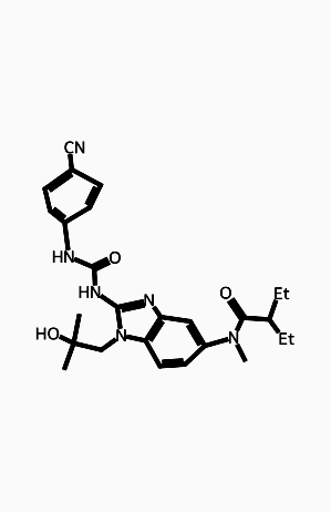 CCC(CC)C(=O)N(C)c1ccc2c(c1)nc(NC(=O)Nc1ccc(C#N)cc1)n2CC(C)(C)O